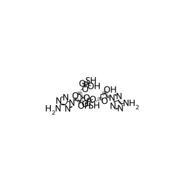 Nc1ncnc2c1ncn2[C@@H]1O[C@H](COP(=O)(O)S)[C@@H](OP(=O)(S)OC[C@@H]2C[C@@H](O)[C@H](n3cnc4c(N)ncnc43)O2)[C@H]1O